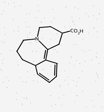 O=C(O)C1CCN2CCCC3C=CC=CC3=C2C1